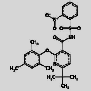 Cc1cc(C)c(Oc2nc(C(C)(C)C)ccc2C(=O)NS(=O)(=O)c2ccccc2[N+](=O)[O-])c(C)c1